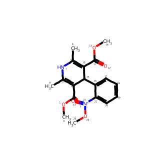 COC(=O)C1=C(C)NC(C)=C(C(=O)OC)C1c1ccccc1[N+](=O)OC